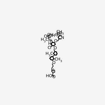 Cc1c(COc2cc(OCc3cncc(S(C)(=O)=O)c3)c(CNC(C)(CO)C(=O)O)cc2Cl)cccc1-c1cccc(OCCCN2CCC(C(=O)O)C2)c1C